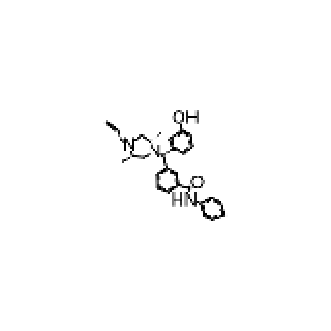 C=CCN1C[C@H](C)N([C@@H](c2cccc(O)c2)c2cccc(C(=O)Nc3ccccc3)c2)C[C@H]1C